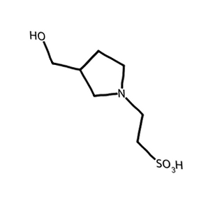 O=S(=O)(O)CCN1CCC(CO)C1